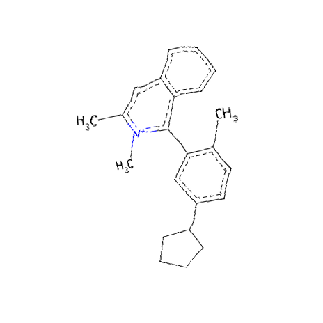 Cc1ccc(C2CCCC2)cc1-c1c2ccccc2cc(C)[n+]1C